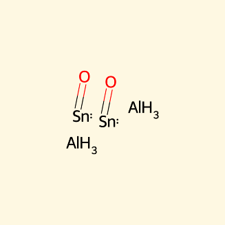 [AlH3].[AlH3].[O]=[Sn].[O]=[Sn]